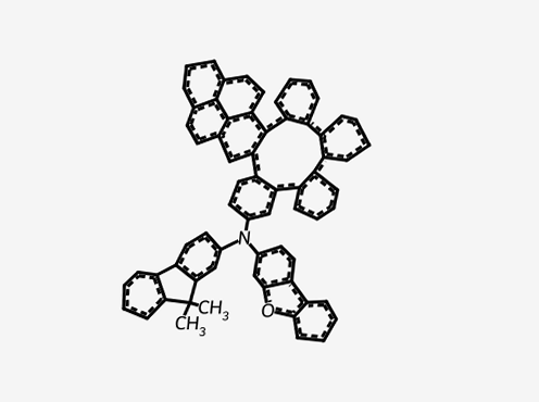 CC1(C)c2ccccc2-c2ccc(N(c3ccc4c(c3)oc3ccccc34)c3ccc4c(c3)c3ccccc3c3ccccc3c3ccccc3c3c4cc4ccc5cccc6ccc3c4c56)cc21